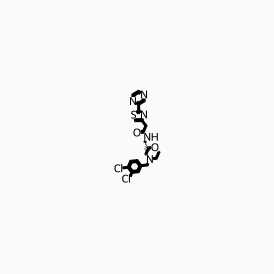 O=C(Cc1csc(-c2cnccn2)n1)NC[C@H]1CN(Cc2ccc(Cl)c(Cl)c2)CCO1